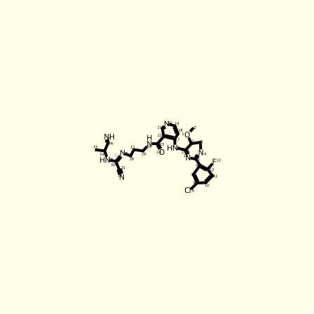 COC1CN=C(c2cc(Cl)ccc2F)N=C1Nc1ccncc1C(=O)NCCC/N=C(\C#N)NC(C)C=N